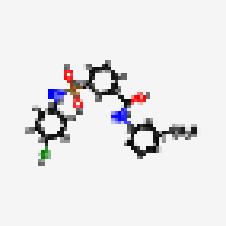 O=C(O)c1cccc(NC(=O)c2cccc(S(=O)(=O)Nc3ccc(Cl)cc3)c2)c1